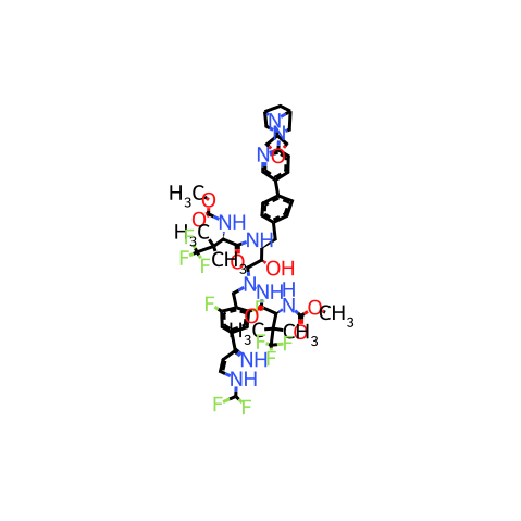 COC(=O)N[C@H](C(=O)N[C@@H](Cc1ccc(-c2ccc(N3CC4CC(C3)N4C3COC3)nc2)cc1)[C@@H](O)CN(Cc1c(F)cc(C(=N)/C=C\NC(F)F)cc1F)NC(=O)[C@@H](NC(=O)OC)C(C)(C)C(F)(F)F)C(C)(C)C(F)(F)F